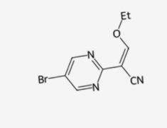 CCO/C=C(/C#N)c1ncc(Br)cn1